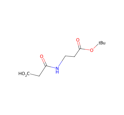 CC(C)(C)OC(=O)CCNC(=O)CC(=O)O